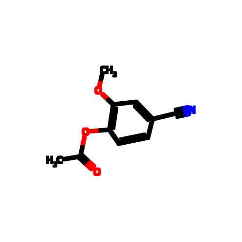 COc1cc(C#N)ccc1OC(C)=O